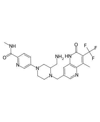 CNC(=O)c1ccc(N2CCN(Cc3cnc4c(C)c(C(F)(F)F)c(=O)[nH]c4c3)C(CN)C2)cn1